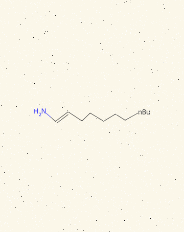 [CH2]CCCCCCCCC=CN